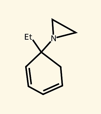 CCC1(N2CC2)C=CC=CC1